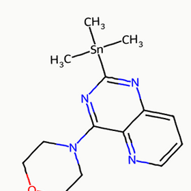 [CH3][Sn]([CH3])([CH3])[c]1nc(N2CCOCC2)c2ncccc2n1